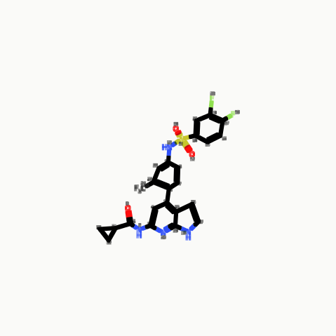 O=C(Nc1cc(-c2ccc(NS(=O)(=O)c3ccc(F)c(F)c3)cc2C(F)(F)F)c2cc[nH]c2n1)C1CC1